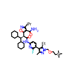 CCc1c(-c2ccc(NC(=O)[C@H](c3onc(C(C)C)c3C(N)=O)C(C3CCCCC3)C3CCCCC3)nc2F)c(C)nn1COCC[Si](C)(C)C